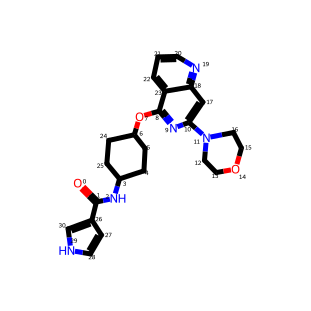 O=C(NC1CCC(Oc2nc(N3CCOCC3)cc3ncccc23)CC1)c1cc[nH]c1